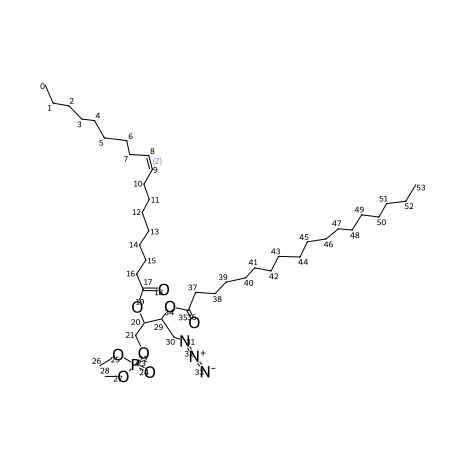 CCCCCCCC/C=C\CCCCCCCC(=O)OC(COP(=O)(OC)OC)C(CN=[N+]=[N-])OC(=O)CCCCCCCCCCCCCCCCC